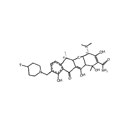 C[C@H]1c2ccc(CN3CCC(F)CC3)c(O)c2C(=O)C2=C(O)C3C(CC21)[C@H](N(C)C)C(O)=C(C(N)=O)C3(C)O